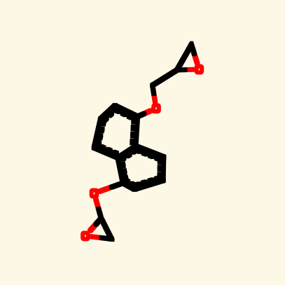 c1cc(OC2CO2)c2cccc(OCC3CO3)c2c1